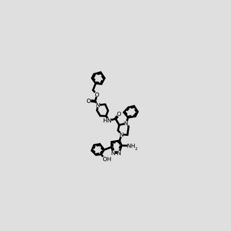 Nc1nnc(-c2ccccc2O)cc1N1CCN(c2ccccc2)C(C(=O)NC2CCN(C(=O)OCc3ccccc3)CC2)C1